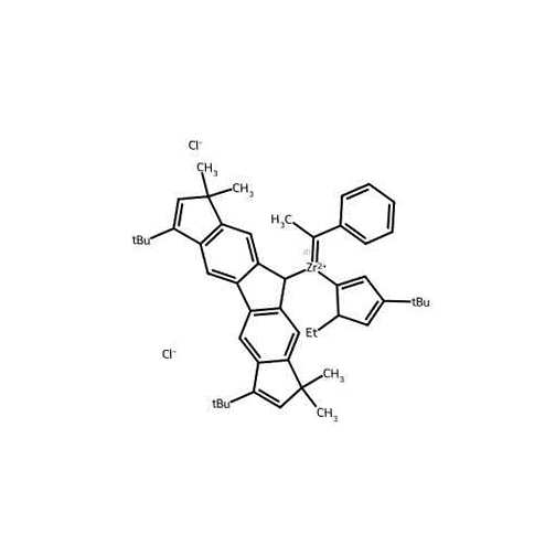 CCC1C=C(C(C)(C)C)C=[C]1/[Zr+2](=[C](/C)c1ccccc1)[CH]1c2cc3c(cc2-c2cc4c(cc21)C(C)(C)C=C4C(C)(C)C)C(C(C)(C)C)=CC3(C)C.[Cl-].[Cl-]